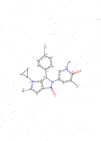 Cc1cc(N2C(=O)c3cc(Br)n(C4CC4)c3C2c2ccc(Cl)cc2)cn(C)c1=O